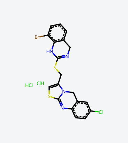 Cl.Cl.Clc1ccc2c(c1)CN1C(CSC3=NCc4cccc(Br)c4N3)=CSC1=N2